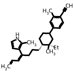 C#Cc1ccc(C2CC[C@@H](CCC/C(=C/C=C)c3cc[nH]c3C)[C@@](C)(CC)C2)cc1C